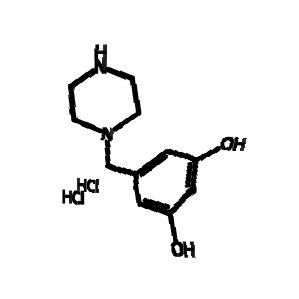 Cl.Cl.Oc1cc(O)cc(CN2CCNCC2)c1